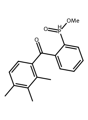 CO[PH](=O)c1ccccc1C(=O)c1ccc(C)c(C)c1C